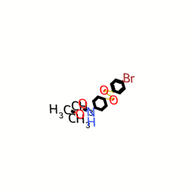 CC(C)(C)OC(=O)N[C@H]1CC[C@H](S(=O)(=O)c2ccc(Br)cc2)CC1